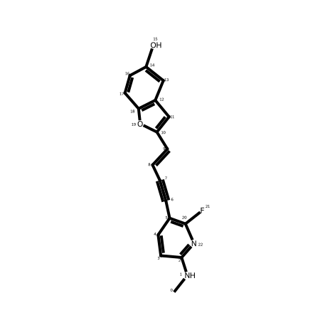 CNc1ccc(C#CC=Cc2cc3cc(O)ccc3o2)c(F)n1